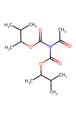 CC(=O)N(C(=O)OC(C)C(C)C)C(=O)OC(C)C(C)C